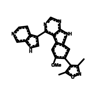 COc1cc2c(cc1-c1c(C)noc1C)[nH]c1ncnc(-c3c[nH]c4cnccc34)c12